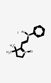 CC[N+]1=C(C=CN(C(C)=O)c2ccccc2)C(C)(C)CC1.[I-]